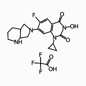 O=C(O)C(F)(F)F.O=c1c2cc(F)c(N3CC4CCCNC4C3)cc2n(C2CC2)c(=O)n1O